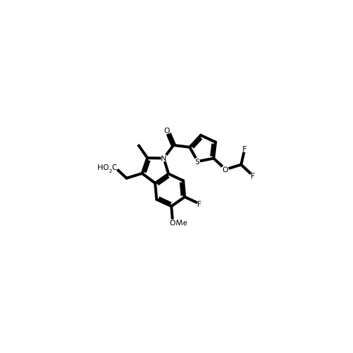 COc1cc2c(CC(=O)O)c(C)n(C(=O)c3ccc(OC(F)F)s3)c2cc1F